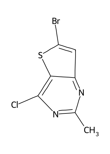 Cc1nc(Cl)c2sc(Br)cc2n1